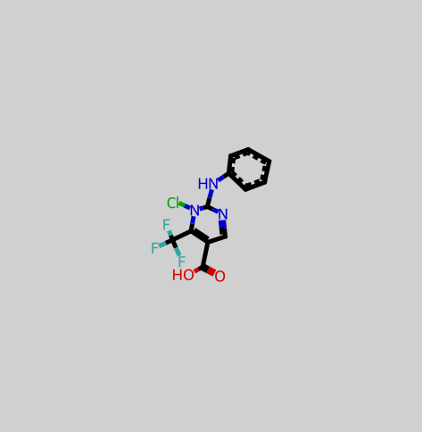 O=C(O)C1=C(C(F)(F)F)N(Cl)C(Nc2ccccc2)N=C1